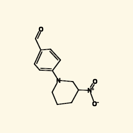 O=Cc1ccc(N2CCCC([N+](=O)[O-])C2)cc1